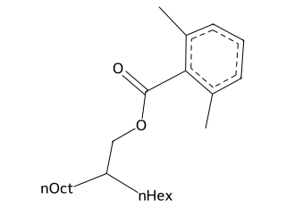 CCCCCCCCC(CCCCCC)COC(=O)c1c(C)cccc1C